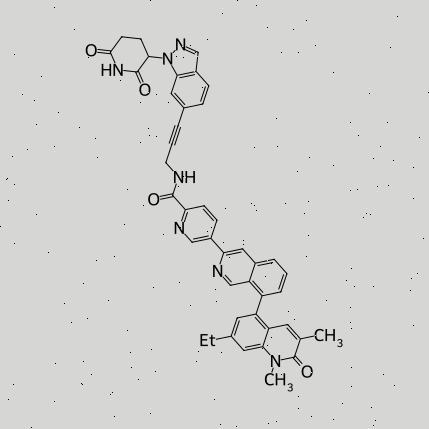 CCc1cc(-c2cccc3cc(-c4ccc(C(=O)NCC#Cc5ccc6cnn(C7CCC(=O)NC7=O)c6c5)nc4)ncc23)c2cc(C)c(=O)n(C)c2c1